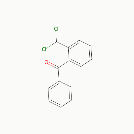 O=C(c1ccccc1)c1ccccc1C(Cl)Cl